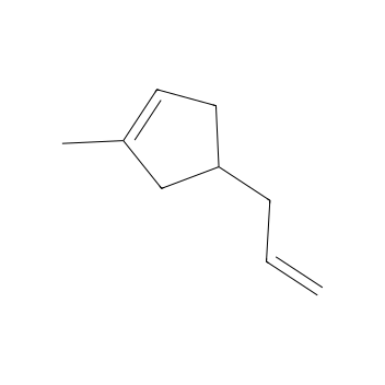 C=CCC1CC=C(C)C1